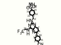 N#Cc1ccc(-c2ccc3nc(NCc4ccc(S(N)(=O)=O)cc4)nc(NCC(F)(F)F)c3n2)cc1